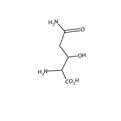 NC(=O)CC(O)C(N)C(=O)O